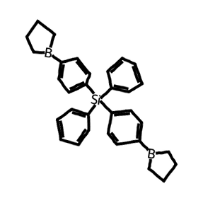 c1ccc([Si](c2ccccc2)(c2ccc(B3CCCC3)cc2)c2ccc(B3CCCC3)cc2)cc1